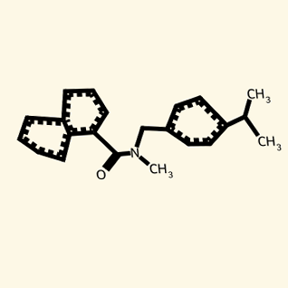 CC(C)c1ccc(CN(C)C(=O)c2cccc3ccccc23)cc1